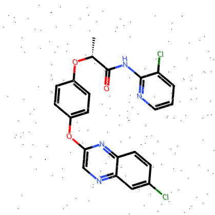 C[C@@H](Oc1ccc(Oc2cnc3cc(Cl)ccc3n2)cc1)C(=O)Nc1ncccc1Cl